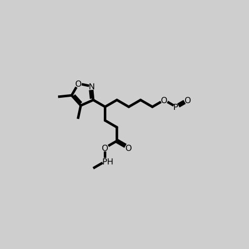 CPOC(=O)CCC(CCCCOP=O)c1noc(C)c1C